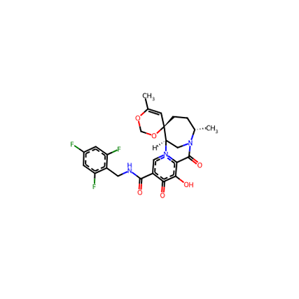 CC1=C[C@@]2(CC[C@H](C)N3C[C@H]2n2cc(C(=O)NCc4c(F)cc(F)cc4F)c(=O)c(O)c2C3=O)OCO1